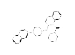 O=C(C1CCCCC1)N1c2ccccc2CCC1CN1CCN(c2ccc3ncccc3c2)CC1